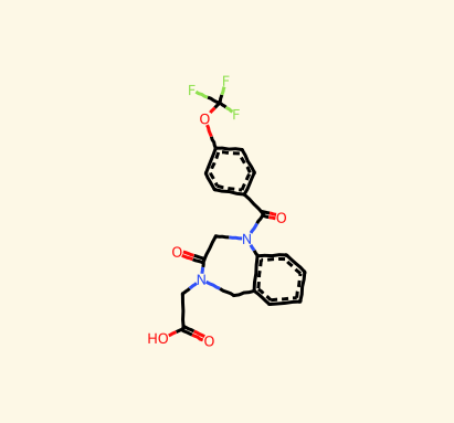 O=C(O)CN1Cc2ccccc2N(C(=O)c2ccc(OC(F)(F)F)cc2)CC1=O